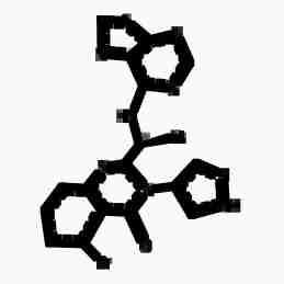 CC[C@H](Nc1ncnc2scnc12)c1nc2cccc(Br)c2c(=O)n1-c1cn[nH]c1